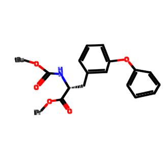 CC(C)OC(=O)[C@@H](Cc1cccc(Oc2ccccc2)c1)NC(=O)OC(C)(C)C